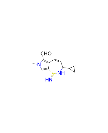 Cn1cc2c(c1C=O)C=CC(C1CC1)NS2=N